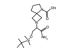 CC(C)(C)[Si](C)(C)OCC(C(N)=O)N1CC2(CCCN2C(=O)O)C1